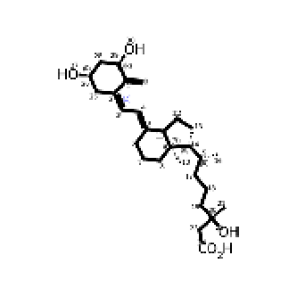 C=C1/C(=C\C=C2CCC[C@@]3(C)C2CC[C@@H]3[C@H](C)CCC[C@](C)(O)CC(=O)O)C[C@@H](O)C[C@H]1O